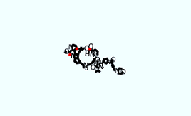 CO[C@@H](C)c1ncccc1-c1c2c3cc(ccc3n1C)-c1csc(n1)C[C@H](NC(=O)[C@H](C(C)C)N(C)C(=O)[C@H]1CCN(C(=O)C#CCN3CCOCC3)C1)C(=O)N1CCC[C@H](N1)C(=O)OCC(C)(C)C2